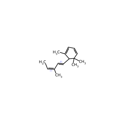 C/C=C(C)\C=C\C1C(C)=CC=CC1(C)C